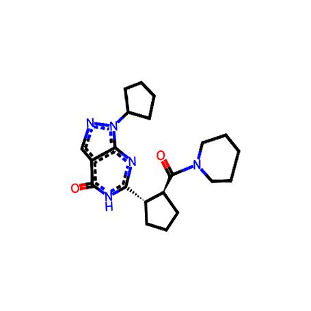 O=C([C@H]1CCC[C@@H]1c1nc2c(cnn2C2CCCC2)c(=O)[nH]1)N1CCCCC1